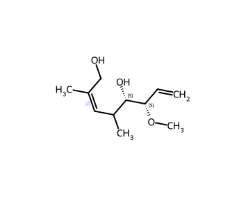 C=C[C@H](OC)[C@@H](O)C(C)/C=C(/C)CO